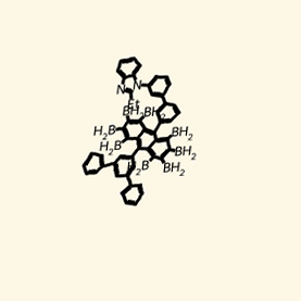 Bc1c(B)c(B)c2c(-c3cc(-c4ccccc4)cc(-c4ccccc4)c3)c3c(B)c(B)c(B)c(B)c3c(-c3cccc(-c4cccc(-n5c(CC)nc6ccccc65)c4)c3)c2c1B